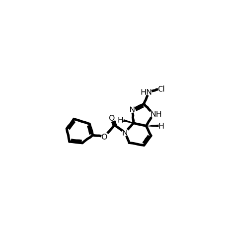 O=C(Oc1ccccc1)N1CC=C[C@H]2NC(NCl)=N[C@H]21